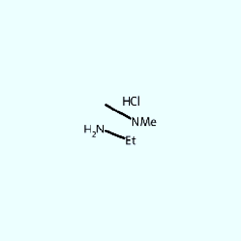 CCN.CNC.Cl